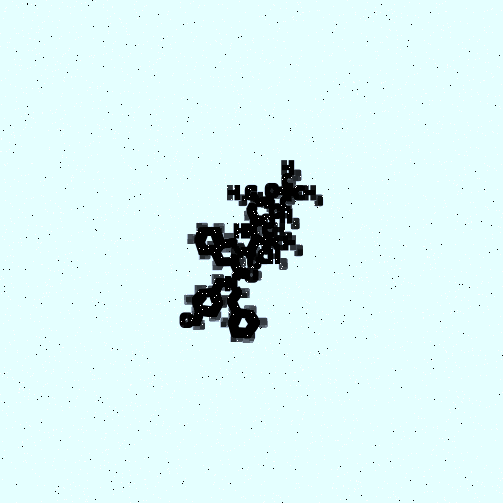 CN(CC(=O)NC(C(=O)N1Cc2ccccc2CC1C(=O)N(CCc1ccccc1)Cc1ccc(C=O)cc1)C(C)(C)C)C(=O)OC(C)(C)C